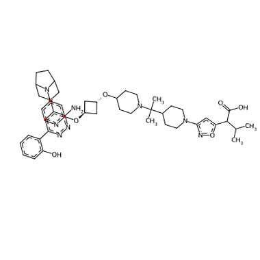 CC(C)C(C(=O)O)c1cc(N2CCC(C(C)(C)N3CCC(O[C@H]4C[C@H](Oc5cc(N6C7CCC6CN(c6cc(-c8ccccc8O)nnc6N)C7)ccn5)C4)CC3)CC2)no1